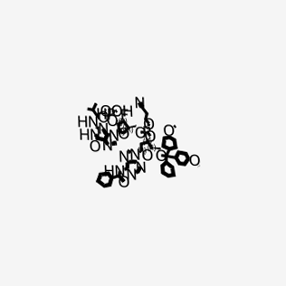 COc1ccc(C(OC[C@H]2O[C@@H](n3cnc4c(NC(=O)c5ccccc5)ncnc43)C[C@@H]2OP(OCCC#N)OC[C@H]2O[C@@H](n3cnc4c(=O)[nH]c(NC(=O)C(C)C)nc43)[C@H](O[PH](=O)O)[C@@H]2F)(c2ccccc2)c2ccc(OC)cc2)cc1